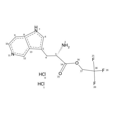 Cl.Cl.N[C@@H](Cc1c[nH]c2ccncc12)C(=O)OCC(F)(F)F